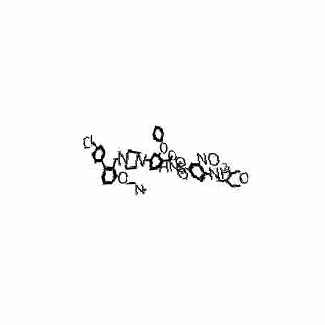 CN(C)CCOc1cccc(-c2ccc(Cl)cc2)c1CN1CCN(c2ccc(C(=O)NS(=O)(=O)c3ccc(NCC4CCOCC4)c([N+](=O)[O-])c3)c(Oc3ccccc3)c2)CC1